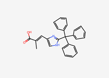 C/C(=C\c1c[nH]c(C(c2ccccc2)(c2ccccc2)c2ccccc2)n1)C(=O)O